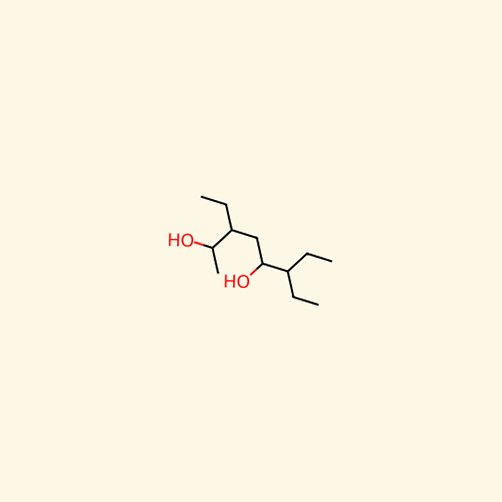 CCC(CC(O)C(CC)CC)C(C)O